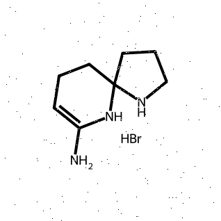 Br.NC1=CCCC2(CCCN2)N1